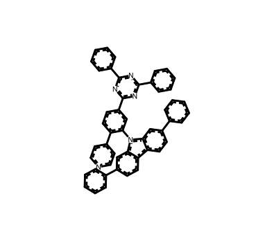 c1ccc(-c2ccc3c4ccc(-c5ccccc5)cc4n(-c4cc(-c5nc(-c6ccccc6)nc(-c6ccccc6)n5)ccc4-c4ccncc4)c3c2)cc1